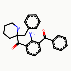 Nc1c(C(=O)c2ccccc2)cccc1C(=O)C1(Cc2ccccc2)CCCCN1